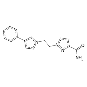 NC(=O)c1[c]cn(CCn2ccc(-c3ccccc3)c2)n1